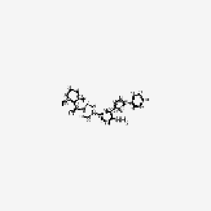 Nc1ncc(N2CCN(C(=O)c3c(F)cccc3F)CC2)nc1-c1nnc(-c2ccccc2)o1